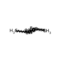 CCCCCCCCC(=O)Oc1cnc(-c2ccc(OCCCCCCC)cc2F)nc1